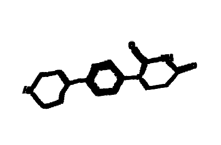 O=C1CCN(c2ccc(C3CCNCC3)cc2)C(=O)N1